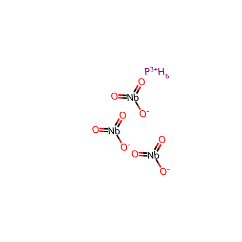 [O]=[Nb](=[O])[O-].[O]=[Nb](=[O])[O-].[O]=[Nb](=[O])[O-].[PH6+3]